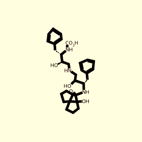 O=C(O)N[C@@H](Cc1ccccc1)[C@H](O)CNCC(O)[C@H](Cc1ccccc1)NC(=O)C1(O)CCCC12CCCC2